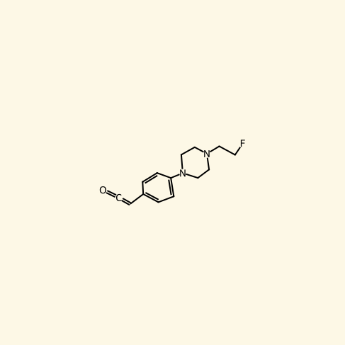 O=C=Cc1ccc(N2CCN(CCF)CC2)cc1